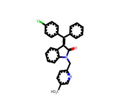 O=C(O)c1ccc(CN2C(=O)/C(=C(\c3ccccc3)c3ccc(Cl)cc3)c3ccccc32)nc1